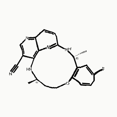 C[C@@H]1CCOc2ccc(F)cc2[C@@H](C)Nc2ccc3ncc(C#N)c(c3n2)N1